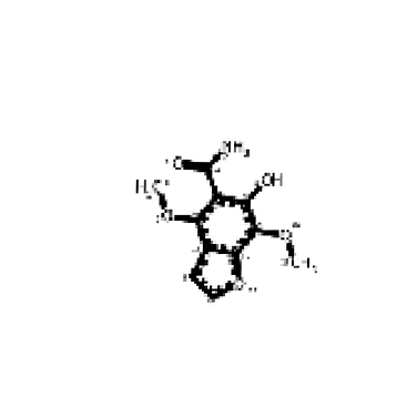 COc1c(C(N)=O)c(O)c(OC)c2occc12